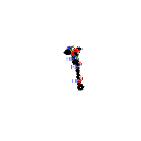 CSN(C)c1ccccc1Nc1nc(Nc2ccc(C(=O)NCCCCCCC(=O)NOCc3ccccc3)cc2F)ncc1C(=O)OC(C)C